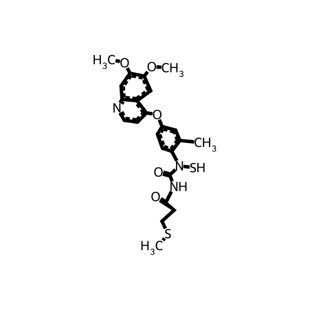 COc1cc2nccc(Oc3ccc(N(S)C(=O)NC(=O)CCSC)c(C)c3)c2cc1OC